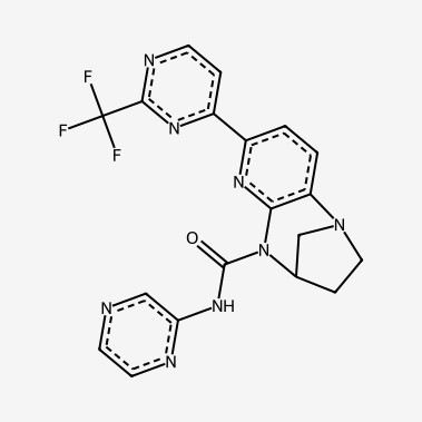 O=C(Nc1cnccn1)N1c2nc(-c3ccnc(C(F)(F)F)n3)ccc2N2CCC1C2